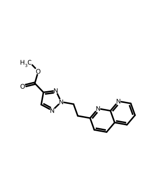 COC(=O)c1cnn(CCc2ccc3cccnc3n2)n1